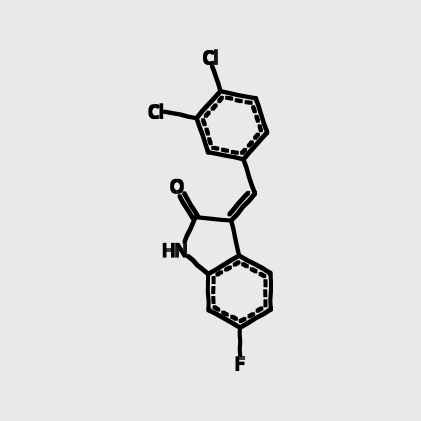 O=C1Nc2cc(F)ccc2C1=Cc1ccc(Cl)c(Cl)c1